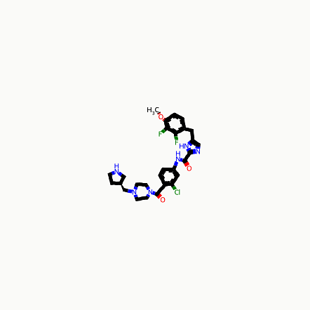 COc1ccc(Cc2cnc(C(=O)Nc3ccc(C(=O)N4CCN(C[C@H]5CCNC5)CC4)c(Cl)c3)[nH]2)c(F)c1F